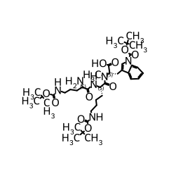 CN(C(=O)[C@H](CCCCNC(=O)OC(C)(C)C)NC(=O)[C@@H](N)CCCNC(=O)OC(C)(C)C)[C@@H](Cc1cn(C(=O)OC(C)(C)C)c2ccccc12)C(=O)O